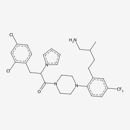 CC(CN)CCc1cc(C(F)(F)F)ccc1N1CCN(C(=O)C(Cc2ccc(Cl)cc2Cl)n2cccc2)CC1